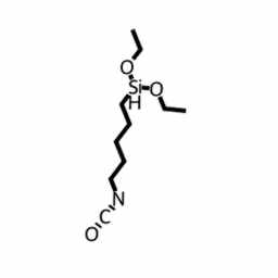 CCO[SiH](CCCCCN=C=O)OCC